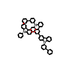 c1ccc(-c2cccc(N(c3ccccc3)c3ccccc3-c3cc(-c4ccc5c(c4)c4ccccc4n5-c4ccccc4)cc(-c4ccc5c(c4)c4ccccc4n5-c4cccc(-c5ccccc5)c4)c3)c2)cc1